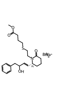 COC(=O)CCCSCCN1C(=O)CCC[C@@H]1C=CC(O)Cc1ccccc1.[BH4-].[Na+]